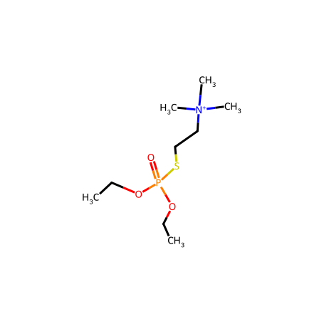 CCOP(=O)(OCC)SCC[N+](C)(C)C